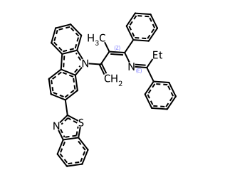 C=C(/C(C)=C(\N=C(/CC)c1ccccc1)c1ccccc1)n1c2ccccc2c2ccc(-c3nc4ccccc4s3)cc21